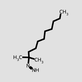 CCCCCCCCCC(C)(C)N=N